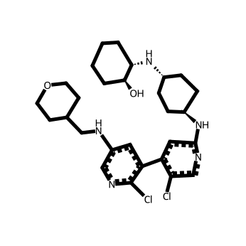 O[C@H]1CCCC[C@@H]1N[C@H]1CC[C@H](Nc2cc(-c3cc(NCC4CCOCC4)cnc3Cl)c(Cl)cn2)CC1